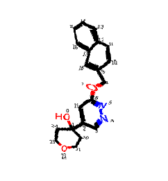 OC1(c2cnnc(OCc3ccc4ccccc4c3)c2)CCOCC1